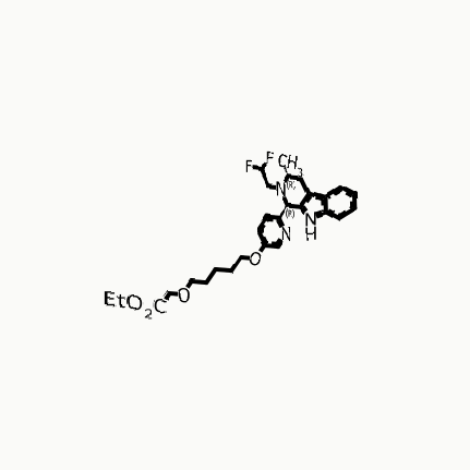 CCOC(=O)COCCCCCOc1ccc([C@@H]2c3[nH]c4ccccc4c3C[C@@H](C)N2CC(F)F)nc1